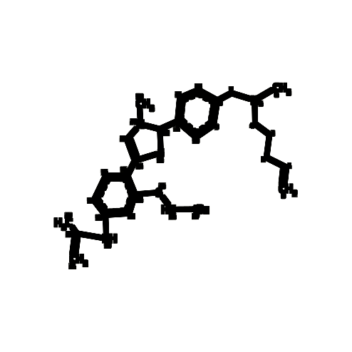 C=CCCCN(C)Cc1ccc(C2SC(c3ccc(NC(=C)C)cc3SNC(C)(C)C)=CN2C)cc1